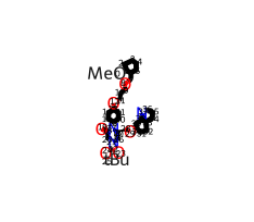 COc1ccccc1COCCCOc1ccc(N2C(=O)CN(C(=O)OC(C)(C)C)C[C@@H]2COc2ccc3cccnc3c2)cc1